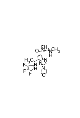 CNCCN(C)C(=O)c1cc(C(C)Nc2cc(F)c(F)c(F)c2)c2nc(N3CCOCC3)cnc2c1